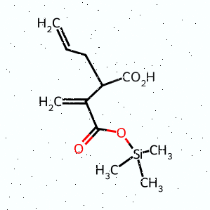 C=CCC(C(=C)C(=O)O[Si](C)(C)C)C(=O)O